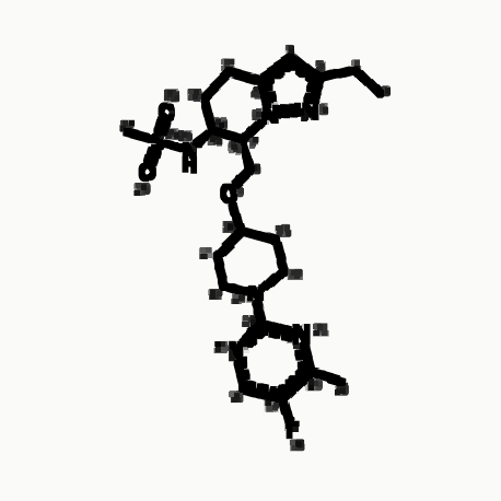 CCc1cc2n(n1)[C@@H](COC1CCN(c3ncc(F)c(C)n3)CC1)[C@@H](NS(C)(=O)=O)CC2